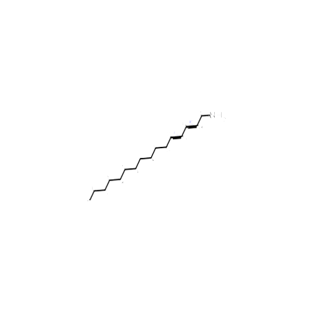 CCCCCCCCCCC/C=C/C=C/CN